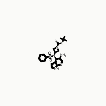 CC(C)(C)OC(=O)N1CC(N(c2c(N)cnc3[nH]ccc23)S(=O)(=O)c2ccccc2)C1